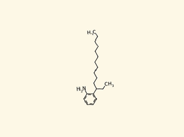 CCCCCCCCCCCC(CC)c1ccccc1N